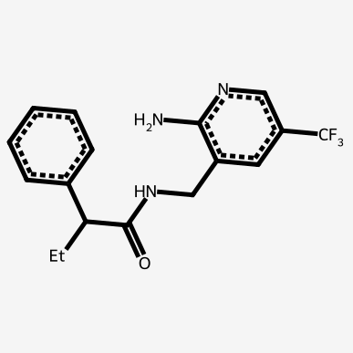 CCC(C(=O)NCc1cc(C(F)(F)F)cnc1N)c1ccccc1